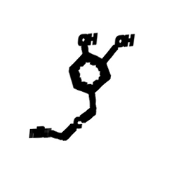 CCCCC=C=Cc1ccc(O)c(O)c1